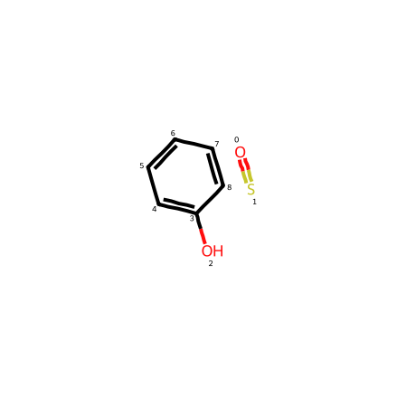 O=S.Oc1ccccc1